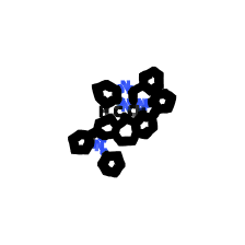 CC1(C)c2c(ccc3c4ccccc4n(-c4nc5ccccc5nc4-c4ccccc4)c23)C=CC2c3c(c4ccccc4n3-c3ccccc3)C=CC21